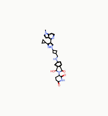 Cn1ccc2c(-c3cn(C4CC(CNc5ccc6c(c5)C(O)N(C5CCC(=O)NC5=O)C6=O)C4)nc3C3CC3)nccc21